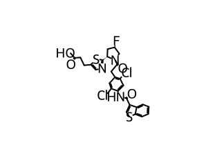 O=C(O)CCc1cnc([C@@H]2C[C@H](F)CN2C(=O)Cc2cc(Cl)c(NC(=O)c3csc4ccccc34)cc2Cl)s1